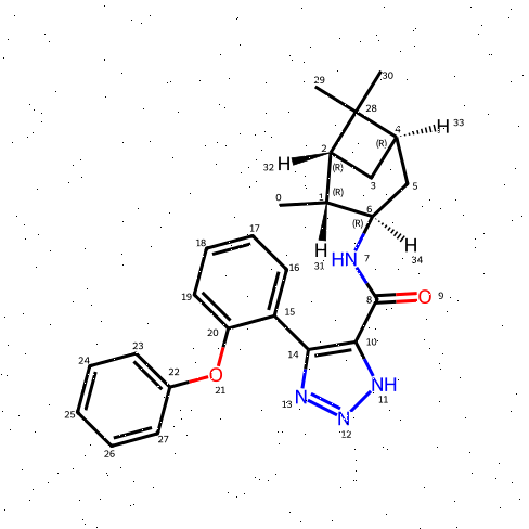 C[C@@H]1[C@H]2C[C@H](C[C@H]1NC(=O)c1[nH]nnc1-c1ccccc1Oc1ccccc1)C2(C)C